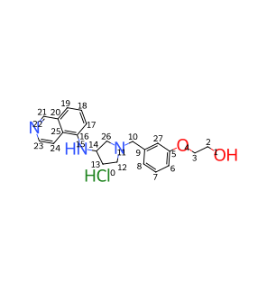 Cl.OCCOc1cccc(CN2CCC(Nc3cccc4cnccc34)C2)c1